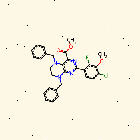 COC(=O)c1nc(-c2ccc(Cl)c(OC)c2F)nc2c1N(Cc1ccccc1)CCN2Cc1ccccc1